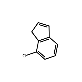 Clc1cc[c]c2c1CC=C2